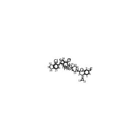 O=C(CC(c1ccc(F)cc1)C1CC1)N1CCC(O)(Cn2cnc3c(-c4ccc5c(c4Cl)C[CH]C5)scc3c2=O)CC1